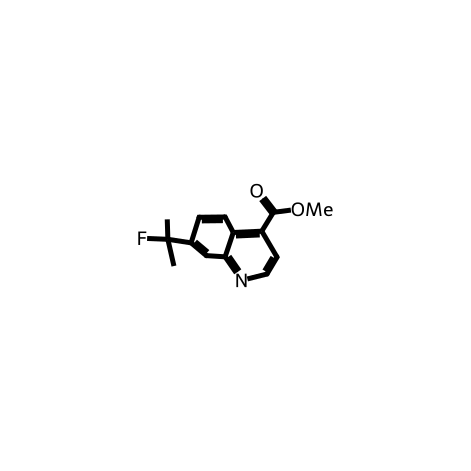 COC(=O)c1ccnc2cc(C(C)(C)F)ccc12